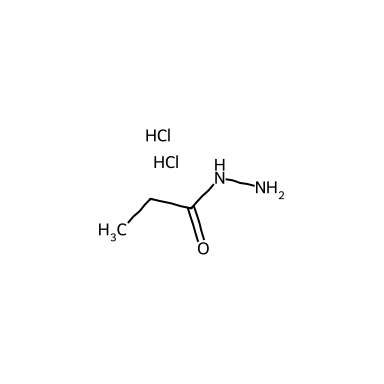 CCC(=O)NN.Cl.Cl